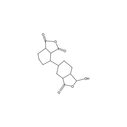 O=C1OC(O)C2CCC(C3CCCC4C(=O)OC(=O)C43)CC12